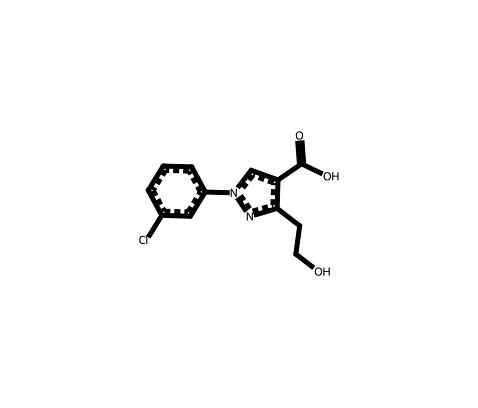 O=C(O)c1cn(-c2cccc(Cl)c2)nc1CCO